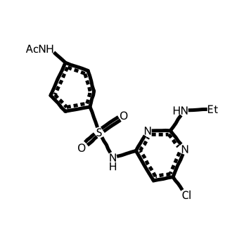 CCNc1nc(Cl)cc(NS(=O)(=O)c2ccc(NC(C)=O)cc2)n1